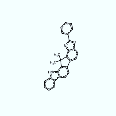 CC1(C)c2c(ccc3oc(-c4ccccc4)nc23)-c2ccc3c([nH]c4ccccc43)c21